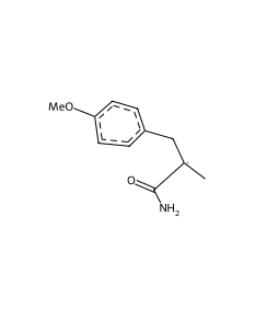 COc1ccc(C[C](C)C(N)=O)cc1